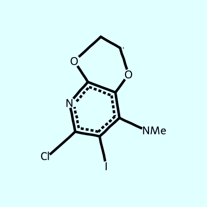 CNc1c(I)c(Cl)nc2c1O[CH]CO2